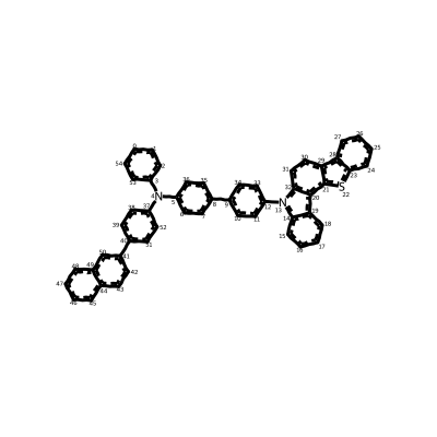 c1ccc(N(c2ccc(-c3ccc(-n4c5ccccc5c5c6sc7ccccc7c6ccc54)cc3)cc2)c2ccc(-c3ccc4ccccc4c3)cc2)cc1